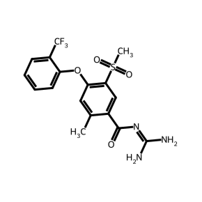 Cc1cc(Oc2ccccc2C(F)(F)F)c(S(C)(=O)=O)cc1C(=O)N=C(N)N